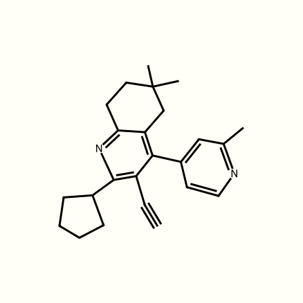 C#Cc1c(C2CCCC2)nc2c(c1-c1ccnc(C)c1)CC(C)(C)CC2